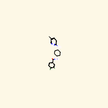 Cc1ccc(N[C@H]2CC[C@@H](NC(=O)c3ccc(F)c(Cl)c3)CC2)nc1